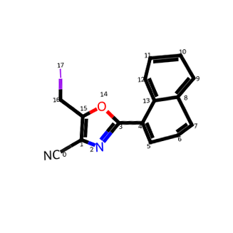 N#Cc1nc(-c2cccc3ccccc23)oc1CI